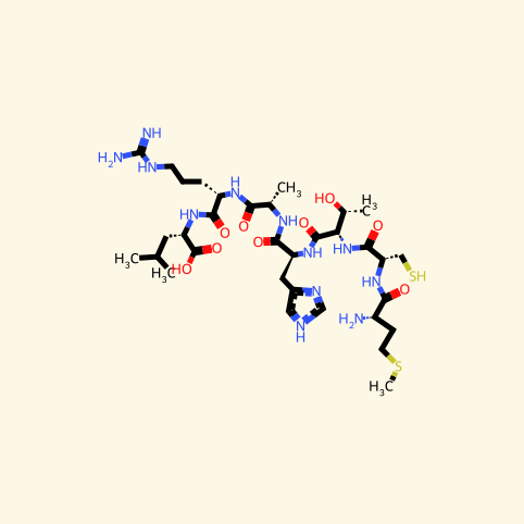 CSCC[C@H](N)C(=O)N[C@@H](CS)C(=O)N[C@H](C(=O)N[C@@H](Cc1c[nH]cn1)C(=O)N[C@@H](C)C(=O)N[C@@H](CCCNC(=N)N)C(=O)N[C@@H](CC(C)C)C(=O)O)[C@@H](C)O